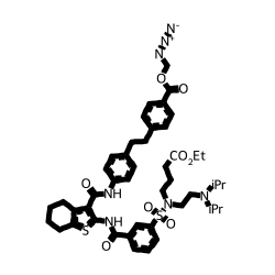 CCOC(=O)CCCN(CCN(C(C)C)C(C)C)S(=O)(=O)c1cccc(C(=O)Nc2sc3c(c2C(=O)Nc2ccc(CCc4ccc(C(=O)OCN=[N+]=[N-])cc4)cc2)CCCC3)c1